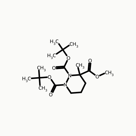 COC(=O)C1(C)CCCN(C(=O)OC(C)(C)C)N1C(=O)OC(C)(C)C